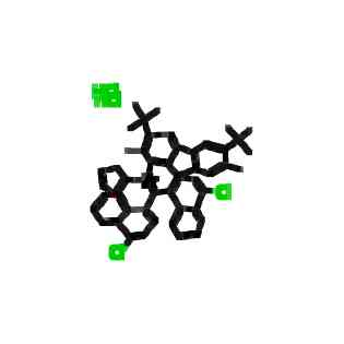 Cc1cc2c(cc1C(C)(C)C)-c1cc(C(C)(C)C)c(C)[c]([Zr]([C]3=CC=CC3)=[C](c3ccc(Cl)c4ccccc34)c3ccc(Cl)c4ccccc34)c1C2.Cl.Cl